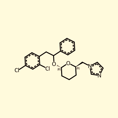 Clc1ccc(CC(O[C@H]2CCC[C@H](Cn3ccnc3)O2)c2ccccc2)c(Cl)c1